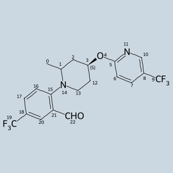 CC1C[C@@H](Oc2ccc(C(F)(F)F)cn2)CCN1c1ccc(C(F)(F)F)cc1C=O